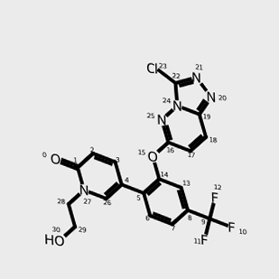 O=c1ccc(-c2ccc(C(F)(F)F)cc2Oc2ccc3nnc(Cl)n3n2)cn1CCO